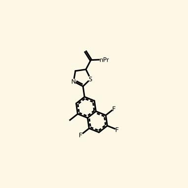 C=C(CCC)C1CN=C(c2cc(C)c3c(F)cc(F)c(F)c3c2)S1